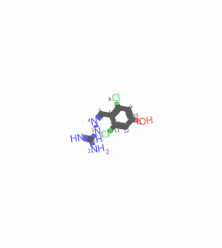 N=C(N)N/N=C\c1c(Cl)cc(O)cc1Cl